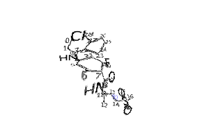 CC[C@H](Nc1ccc(C(=O)N[C@H](C)/C=C/S(C)(=O)=O)c(F)c1)c1ccccc1Cl